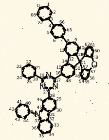 c1ccc(-c2ccc(-c3ccc4c(c3)-c3cc(-c5nc(-c6ccccc6)nc(-c6ccc7c8ccccc8n(-c8ccccc8)c7c6)n5)ccc3C43c4ccccc4Oc4ccccc43)cc2)cc1